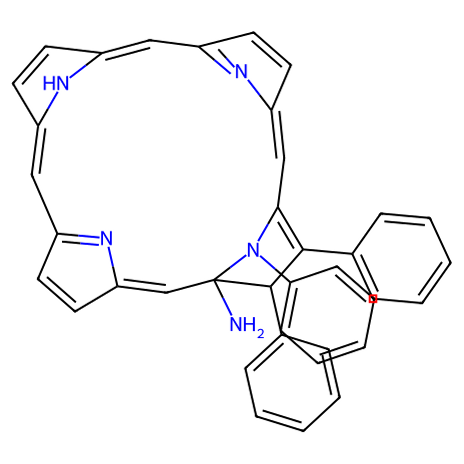 NC12C=C3C=CC(=N3)C=c3ccc([nH]3)=CC3=NC(=CC(=C(c4ccccc4)C1c1ccccc1)N2c1ccccc1)C=C3